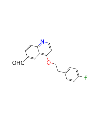 O=Cc1ccc2nccc(OCCc3ccc(F)cc3)c2c1